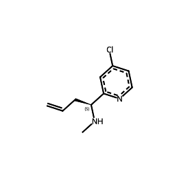 C=CC[C@H](NC)c1cc(Cl)ccn1